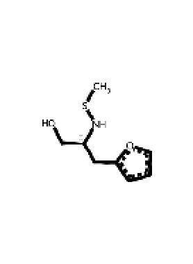 CSN[C@H](CO)Cc1ccco1